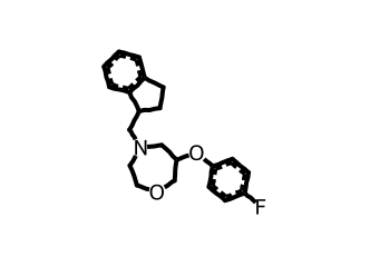 Fc1ccc(OC2COCCN(CC3CCc4ccccc43)C2)cc1